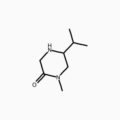 CC(C)C1CN(C)C(=O)CN1